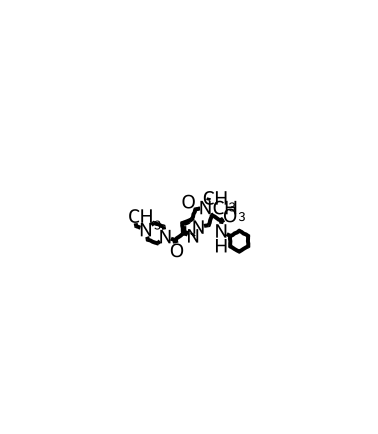 CCN1CCN(C(=O)c2cc3n(n2)CC(C)(C(=O)NC2CCCCC2)N(C)C3=O)CC1